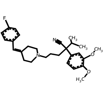 COc1ccc(C(C#N)(CCCN2CCC(=Cc3ccc(F)cc3)CC2)C(C)C)cc1OC